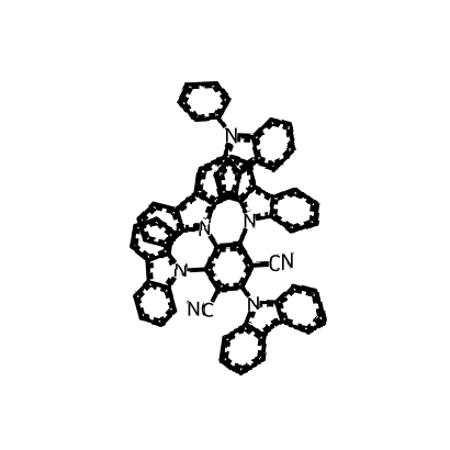 N#Cc1c(-n2c3ccccc3c3ccccc32)c(C#N)c(-n2c3ccccc3c3ccccc32)c(-n2c3ccccc3c3cc4c(cc32)c2ccccc2n4-c2ccccc2)c1-n1c2ccccc2c2ccccc21